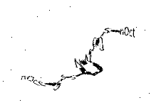 CCCCCCCCSSSc1ccn(SSSCCCCCCCC)n1